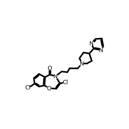 O=C1c2ccc(Cl)cc2OC=C(Cl)N1CCCCN1CCC(c2ncccn2)CC1